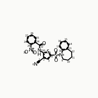 N#Cc1cc(S(=O)(=O)N2CCCCc3ccccc32)sc1NC(=O)c1ccccc1[N+](=O)[O-]